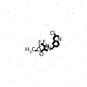 CCOC(=O)c1cn(Cc2ccc3ncc(Cl)cc3c2)nc1C(F)(F)F